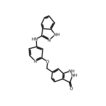 O=c1[nH][nH]c2cc(COc3cc(Nc4n[nH]c5ccccc45)ccn3)ccc12